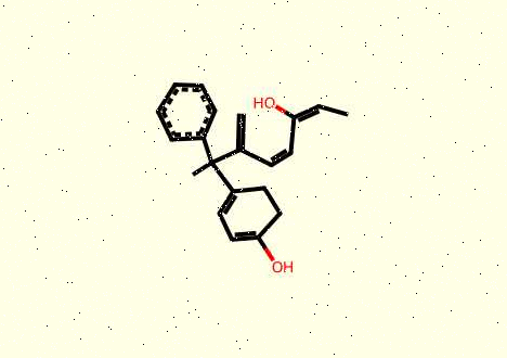 C=C(/C=C\C(O)=C/C)C(C)(C1=CC=C(O)CC1)c1ccccc1